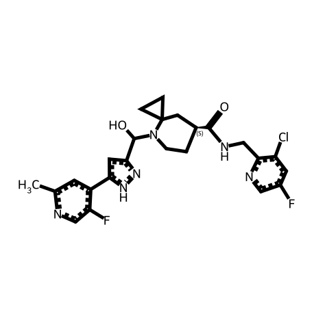 Cc1cc(-c2cc(C(O)N3CC[C@H](C(=O)NCc4ncc(F)cc4Cl)CC34CC4)n[nH]2)c(F)cn1